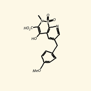 COc1ccc(Cc2cnc3c(c2)C(O)=C(C(=O)O)N(C)S3(=O)=O)cc1